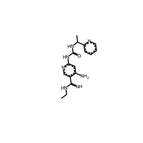 CCNC(=N)c1cnc(NC(=O)NC(C)c2ccccn2)cc1N